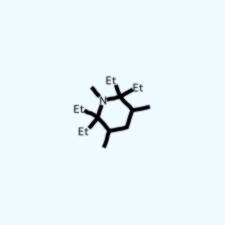 CCC1(CC)C(C)CC(C)C(CC)(CC)N1C